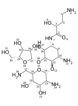 NCCC(O)C(=O)N[C@@H]1CC(N)[C@@H](O[C@H]2OC(CN)[C@@H](O)C(O)C2N)C(O[C@@H]2O[C@H](CO)C(O)C2O)C1O